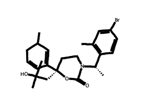 Cc1cc(Br)ccc1[C@H](C)N1CC[C@](CC(C)(C)O)(C2=CC(C)CC=C2)OC1=O